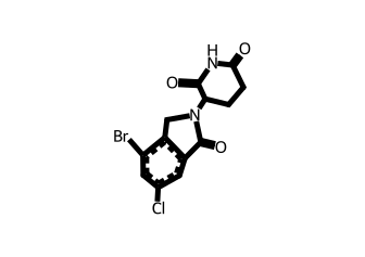 O=C1CCC(N2Cc3c(Br)cc(Cl)cc3C2=O)C(=O)N1